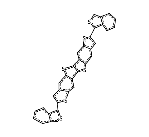 c1ccc2c(-c3cc4cc5sc6c7cc8sc(-c9scc%10ccccc9%10)cc8cc7sc6c5cc4s3)scc2c1